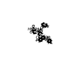 Cc1ccc(S(=O)(=O)Oc2cc(N3CCc4c(nc(OC[C@@]56CCCN5C[C@H](F)C6)nc4N4CCC[C@]5(C4)NC(=O)NC5=O)C3)c3c(Cl)c(F)ccc3c2)cc1